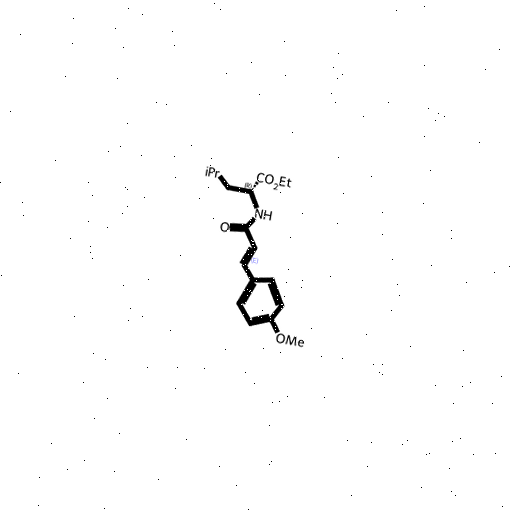 CCOC(=O)[C@@H](CC(C)C)NC(=O)/C=C/c1ccc(OC)cc1